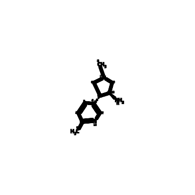 Cc1ccc([C@@H]2CN(C)C[C@H]2N)cn1